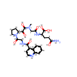 CN(CC(=O)NC(CCC(N)=O)C(=O)O)C(=O)C(=O)[C@@H]1CCCN1C(=O)CNC(=O)c1ccnc2ccccc12